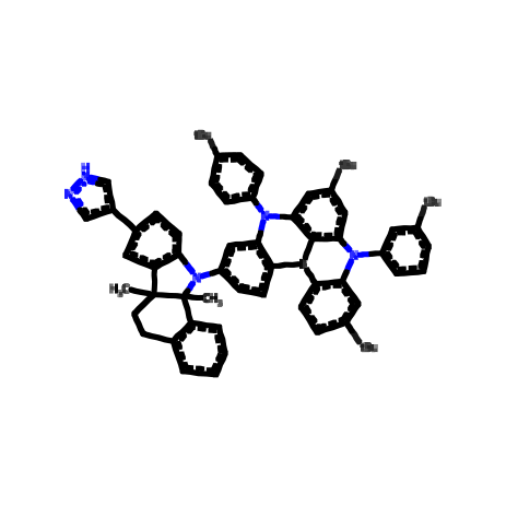 CC(C)(C)c1ccc(N2c3cc(N4c5ccc(-c6cn[nH]c6)cc5C5(C)CCc6ccccc6C45C)ccc3B3c4ccc(C(C)(C)C)cc4N(c4cccc(C(C)(C)C)c4)c4cc(C(C)(C)C)cc2c43)cc1